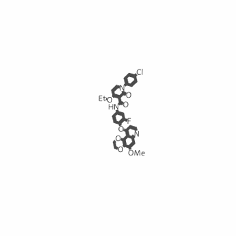 CCOc1ccn(-c2ccc(Cl)cc2)c(=O)c1C(=O)Nc1ccc(Oc2ccnc3cc(OC)c4c(c23)OCCO4)c(F)c1